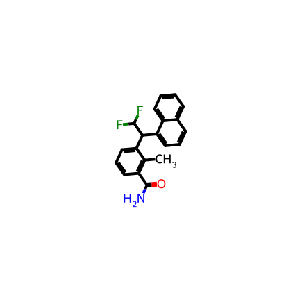 Cc1c(C(N)=O)cccc1C(c1cccc2ccccc12)C(F)F